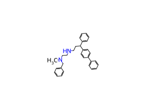 CN(CCNCCC(c1ccccc1)c1ccc(-c2ccccc2)cc1)Cc1ccccc1